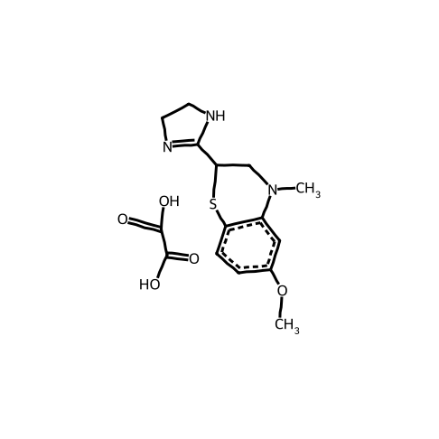 COc1ccc2c(c1)N(C)CC(C1=NCCN1)S2.O=C(O)C(=O)O